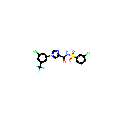 O=C(NS(=O)(=O)c1cccc(Cl)c1)c1cn(-c2cc(Cl)cc(C(F)(F)F)c2)cn1